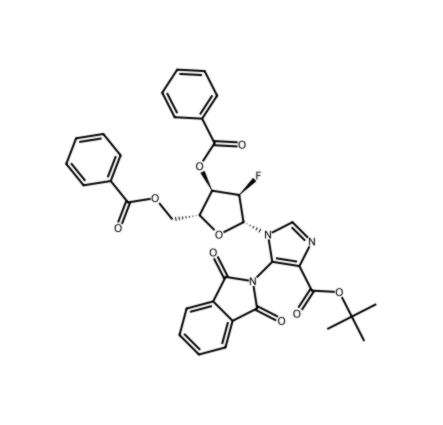 CC(C)(C)OC(=O)c1ncn([C@@H]2O[C@H](COC(=O)c3ccccc3)[C@@H](OC(=O)c3ccccc3)[C@H]2F)c1N1C(=O)c2ccccc2C1=O